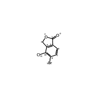 O=C1OCc2c1ccc(Br)c2Cl